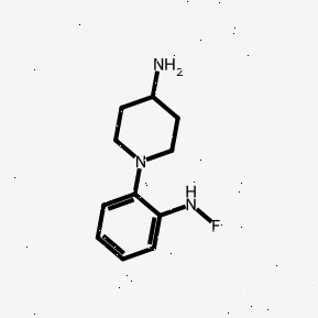 NC1CCN(c2ccccc2NF)CC1